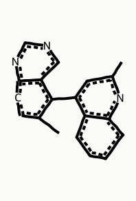 Cc1cc(-c2c(C)ccc3ncncc23)c2ccccc2n1